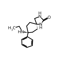 CCN[C@]1(c2ccccc2)CC[C@]2(CC1)CNC(=O)N2